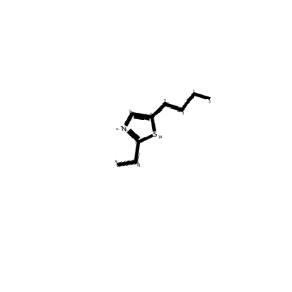 CCCCc1cnc(CC)s1